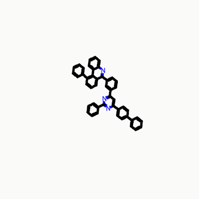 c1ccc(-c2ccc(-c3cc(-c4cccc(-c5nc6ccccc6c6c(-c7ccccc7)cccc56)c4)nc(-c4ccccc4)n3)cc2)cc1